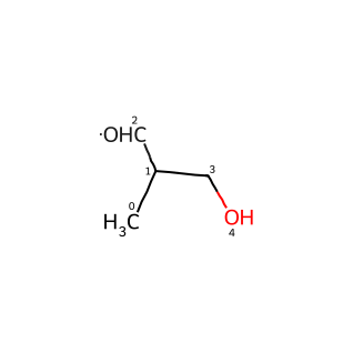 CC([C]=O)CO